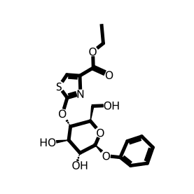 CCOC(=O)c1csc(O[C@H]2[C@H](O)[C@@H](O)[C@H](Oc3ccccc3)O[C@@H]2CO)n1